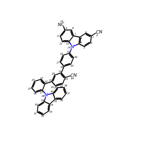 N#Cc1ccc2c(c1)c1cc(C#N)ccc1n2-c1ccc(-c2cc(-c3ccccc3-n3c4ccccc4c4ccccc43)ccc2C#N)cc1